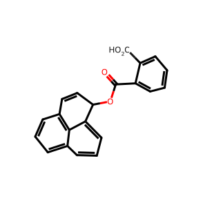 O=C(O)c1ccccc1C(=O)OC1C=Cc2cccc3cccc1c23